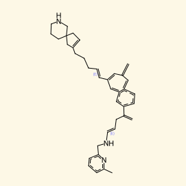 C=C1C=C(/C=C/CCCC2=CCC3(CCCNC3)C2)C=c2cc(C(=C)C/C=C/NCc3cccc(C)n3)ccc2=C1